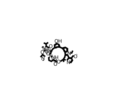 CCn1c(-c2cnccc2COC)c2c3cc(ccc31)-c1cc(O)cc(c1)C[C@H](NC(=O)C(C(C)C)N(C)C(=O)OC1CN(C)C1)C(=O)N1CCC[C@H](N1)C(=O)OCC(C)(C)C2